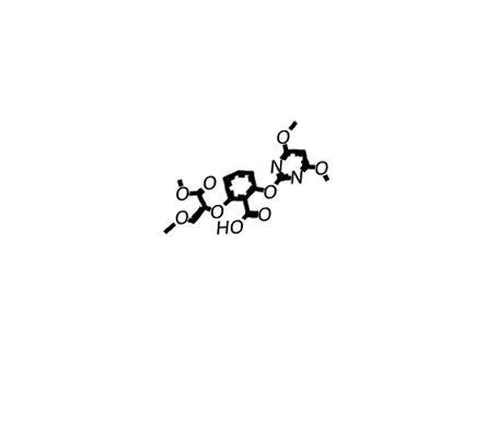 COC=C(Oc1cccc(Oc2nc(OC)cc(OC)n2)c1C(=O)O)C(=O)OC